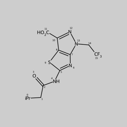 CC(C)CC(=O)Nc1nc2c(s1)c(C(=O)O)nn2CC(F)(F)F